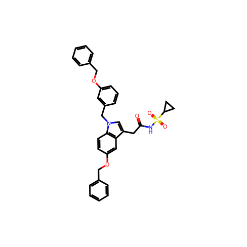 O=C(Cc1cn(Cc2cccc(OCc3ccccc3)c2)c2ccc(OCc3ccccc3)cc12)NS(=O)(=O)C1CC1